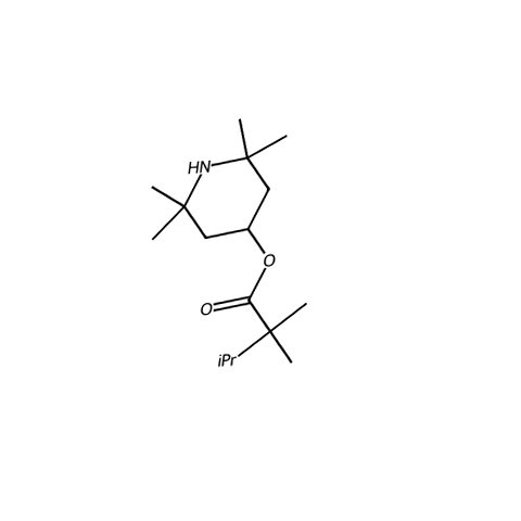 CC(C)C(C)(C)C(=O)OC1CC(C)(C)NC(C)(C)C1